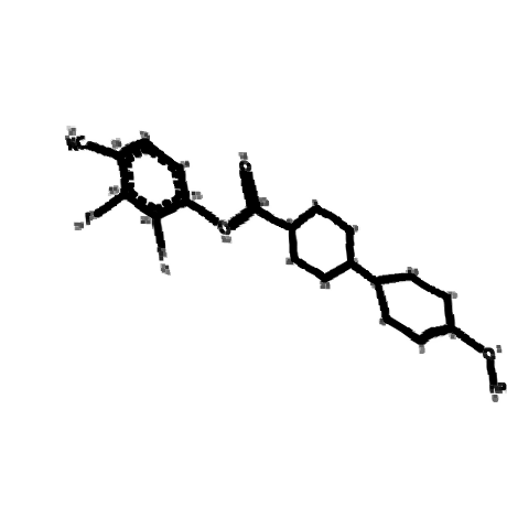 CCCOC1CCC(C2CCC(C(=O)Oc3ccc(C#N)c(F)c3F)CC2)CC1